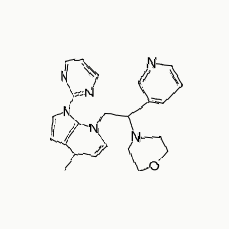 CC1C=CN(CC(c2cccnc2)N2CCOCC2)c2c1ccn2-c1ncccn1